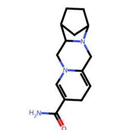 NC(=O)C1=CN2CC3C4CCC(C4)N3CC2=CC1